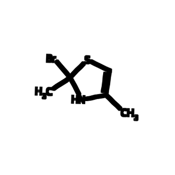 CC1=CSC(C)(Br)N1